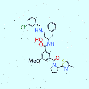 COc1cc(C(=O)N[C@@H](Cc2ccccc2)[C@H](O)CNCc2cccc(Cl)c2)cc(C(=O)N2CCC[C@@H]2c2nc(C)cs2)c1